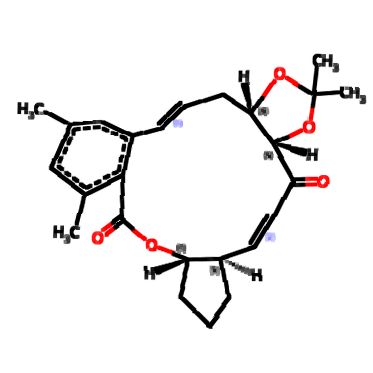 Cc1cc(C)c2c(c1)/C=C/C[C@@H]1OC(C)(C)O[C@@H]1C(=O)/C=C\[C@H]1CCC[C@@H]1OC2=O